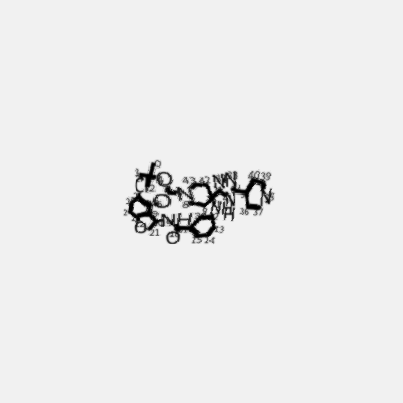 CC(C)(C)OC(=O)N1CCC(Nc2cccc(C(=O)N[C@H]3COc4ccc(Cl)cc43)c2)(c2nnc(-c3ccncc3)[nH]2)CC1